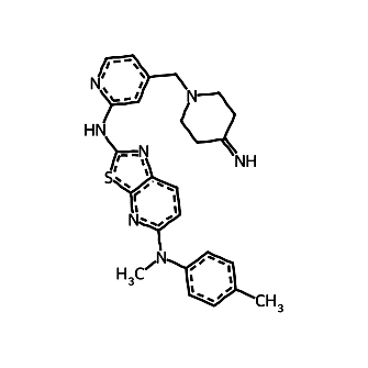 Cc1ccc(N(C)c2ccc3nc(Nc4cc(CN5CCC(=N)CC5)ccn4)sc3n2)cc1